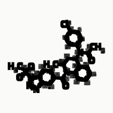 CC(=O)N(c1ccc(Cl)cc1)[C@@H]1C[C@H](C)N(C(=O)c2ccc3c(c2)nnn3S(C)(=O)=O)c2ccccc21